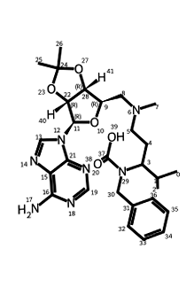 CC(C)C(CCN(C)C[C@H]1O[C@@H](n2cnc3c(N)ncnc32)[C@@H]2OC(C)(C)O[C@@H]21)N(Cc1ccccc1)C(=O)O